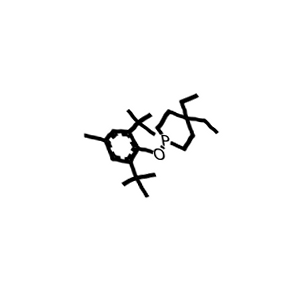 CCC1(CC)CCP(Oc2c(C(C)(C)C)cc(C)cc2C(C)(C)C)CC1